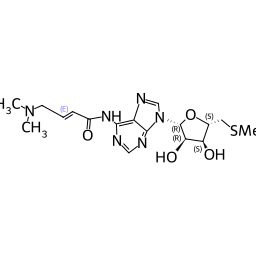 CSC[C@H]1O[C@@H](n2cnc3c(NC(=O)/C=C/CN(C)C)ncnc32)[C@H](O)[C@@H]1O